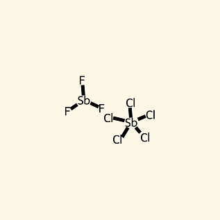 [Cl][Sb]([Cl])([Cl])([Cl])[Cl].[F][Sb]([F])[F]